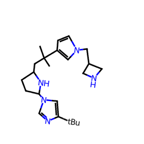 CC(C)(C)c1cn(C2CCC(CC(C)(C)c3ccn(CC4CNC4)c3)N2)cn1